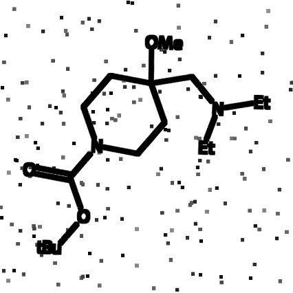 CCN(CC)CC1(OC)CCN(C(=O)OC(C)(C)C)CC1